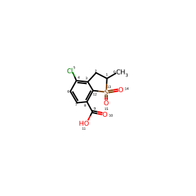 CC1Cc2c(Cl)ccc(C(=O)O)c2S1(=O)=O